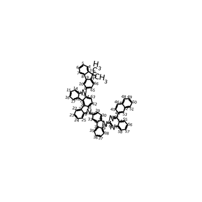 CC1(C)c2ccccc2-c2cc(-n3c4ccccc4c4c5c6ccccc6n(-c6ccc7c(c6)c6ccccc6n7-c6nc(-c7ccc8ccccc8c7)c7ccccc7n6)c5ccc43)ccc21